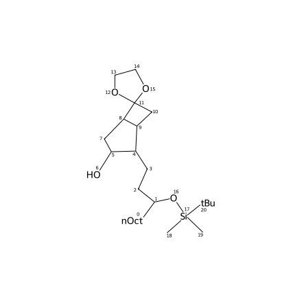 CCCCCCCCC(CCC1C(O)CC2C1CC21OCCO1)O[Si](C)(C)C(C)(C)C